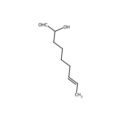 CC=CCCCCC(O)C=O